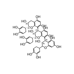 OC1=CCC(C2Oc3cc(O)cc(O)c3[C@H](c3c(O)cc(O)c4c3O[C@H](C3C=C(O)C(O)=CC3)[C@H](O)[C@H]4c3c(O)cc(O)c4c3O[C@H](C3C=C(O)C(O)=CC3)[C@H](O)C4)[C@H]2O)C=C1O